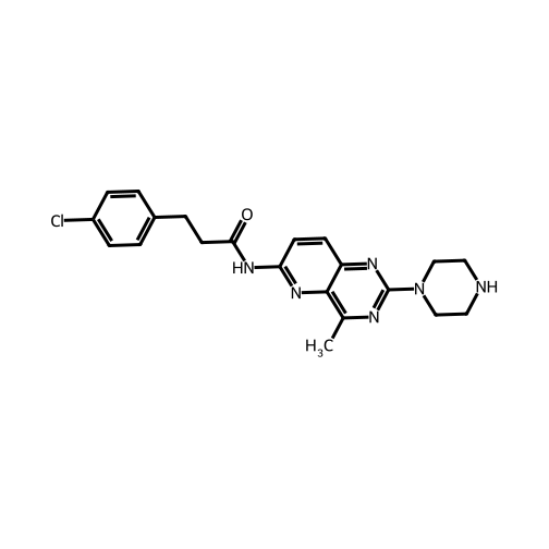 Cc1nc(N2CCNCC2)nc2ccc(NC(=O)CCc3ccc(Cl)cc3)nc12